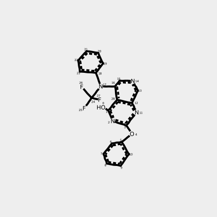 Oc1nc(Oc2ccccc2)nc2cncc(N(c3ccccc3)C(F)(F)F)c12